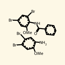 COc1cc(Br)c(Br)cc1N.COc1cc(Br)cc(Br)c1NC(=O)c1ccccc1